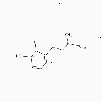 CN(C)CCc1cccc(O)c1F